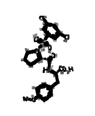 COc1ccc(C[C@H](NC(=O)[C@@H]2CCCN2S(=O)(=O)c2cc(Cl)cc(Cl)c2)C(=O)O)cc1